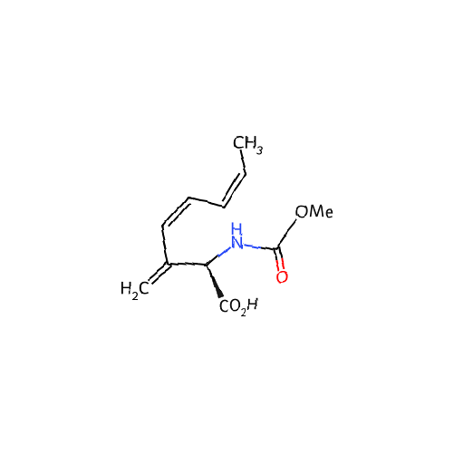 C=C(/C=C\C=C/C)[C@@H](NC(=O)OC)C(=O)O